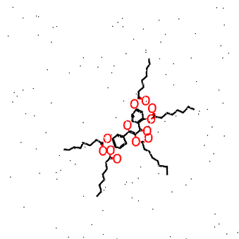 CCCCCCCC(=O)Oc1cc(OC(=O)CCCCCCC)c2c(=O)c(OC(=O)CCCCCCC)c(-c3ccc(OC(=O)CCCCCCC)c(OC(=O)CCCCCCC)c3)oc2c1